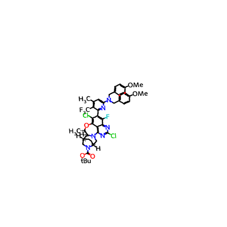 COc1ccc(CN(Cc2ccc(OC)cc2)c2cc(C)c(C(F)(F)F)c(-c3c(Cl)c4c5c(nc(Cl)nc5c3F)N3C[C@H]5CC[C@H](CN5C(=O)OC(C)(C)C)[C@H]3[C@H](C)O4)n2)cc1